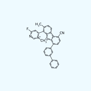 Cc1ccc2c(oc3c(-c4cccc(-c5ccccc5)c4)ccc(C#N)c32)c1-c1cc(F)nc[n+]1C